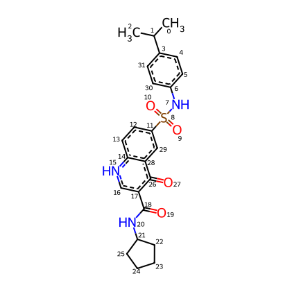 CC(C)c1ccc(NS(=O)(=O)c2ccc3[nH]cc(C(=O)NC4CCCC4)c(=O)c3c2)cc1